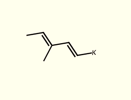 C/C=C(C)/C=[CH]/[K]